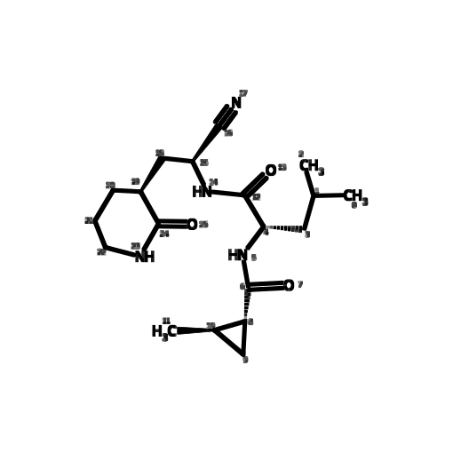 CC(C)C[C@H](NC(=O)[C@@H]1C[C@H]1C)C(=O)N[C@H](C#N)C[C@@H]1CCCNC1=O